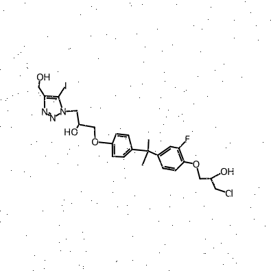 CC(C)(c1ccc(OCC(O)Cn2nnc(CO)c2I)cc1)c1ccc(OCC(O)CCl)c(F)c1